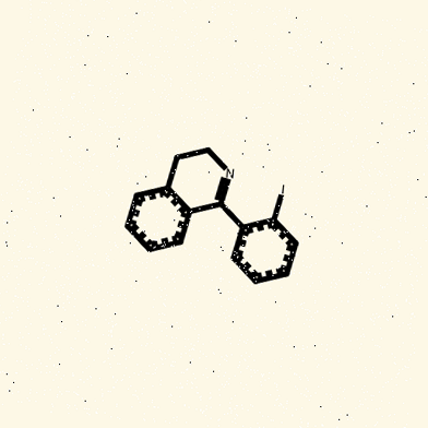 Ic1ccccc1C1=NCCc2ccccc21